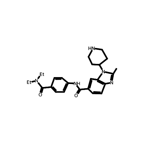 CCN(CC)C(=O)c1ccc(NC(=O)c2ccc3nc(C)n(C4CCNCC4)c3c2)cc1